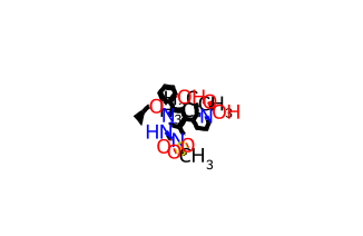 CC(C)(C)C1C(c2cc(-c3c(O)cccc3OCC3CC3)nc3c2CN(S(C)(=O)=O)C(=O)N3)CCCN1C(=O)O